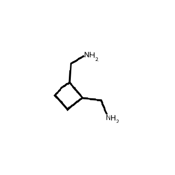 NCC1CCC1CN